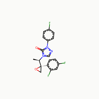 C[C@@H](n1cnn(-c2ccc(F)cc2)c1=O)[C@@]1(c2ccc(F)cc2F)CO1